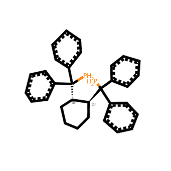 PC(c1ccccc1)(c1ccccc1)[C@H]1CCCC[C@@H]1C(P)(c1ccccc1)c1ccccc1